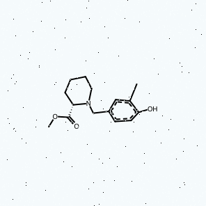 COC(=O)[C@@H]1CCCCN1Cc1ccc(O)c(C)c1